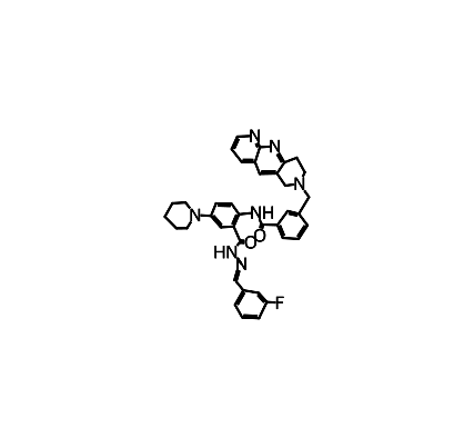 O=C(Nc1ccc(N2CCCCC2)cc1C(=O)NN=Cc1cccc(F)c1)c1cccc(CN2CCc3nc4ncccc4cc3C2)c1